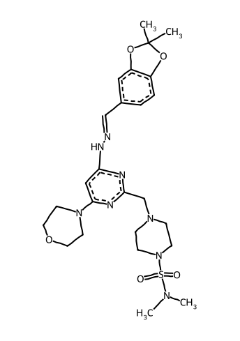 CN(C)S(=O)(=O)N1CCN(Cc2nc(N/N=C/c3ccc4c(c3)OC(C)(C)O4)cc(N3CCOCC3)n2)CC1